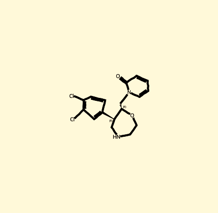 O=c1ccccn1C[C@@H]1OCCNC[C@H]1c1ccc(Cl)c(Cl)c1